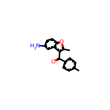 Cc1ccc(C(=O)c2c(C)oc3ccc(N)cc23)cc1